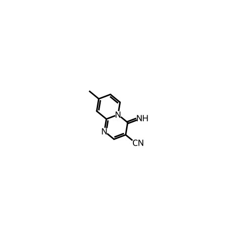 Cc1ccn2c(=N)c(C#N)cnc2c1